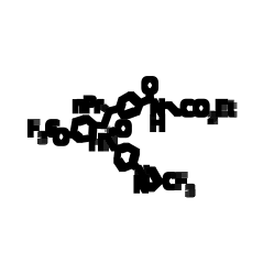 CCC[C@@H](c1ccc(C(=O)NCCC(=O)OCC)cc1)[C@H](C(=O)Nc1ccc(-n2cc(C(F)(F)F)cn2)cc1)c1ccc(OC(F)(F)F)cc1